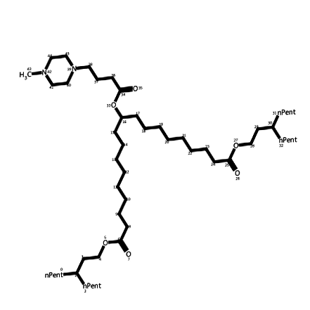 CCCCCC(CCCCC)CCOC(=O)CCCCCCCCC(CCCCCCCCC(=O)OCCC(CCCCC)CCCCC)OC(=O)CCCN1CCN(C)CC1